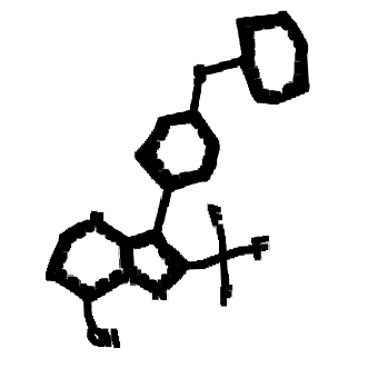 Oc1ccnc2c(-c3ccc(Sc4ccccc4)cc3)c(C(F)(F)F)nn12